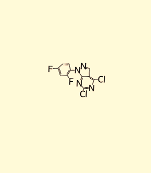 Fc1ccc(-n2ncc3c(Cl)nc(Cl)nc32)c(F)c1